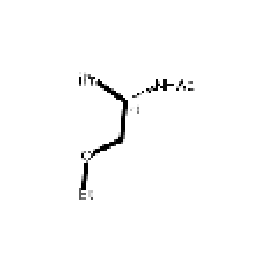 CCOC[C@@H](NC(C)=O)C(C)C